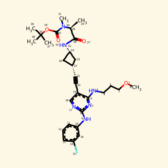 COCCCNc1nc(Nc2cccc(F)c2)ncc1C#C[C@H]1C[C@@H](NC(=O)[C@H](C)N(C)C(=O)OC(C)(C)C)C1